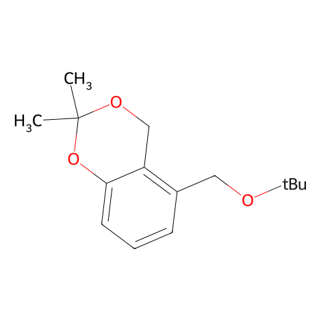 CC(C)(C)OCc1cccc2c1COC(C)(C)O2